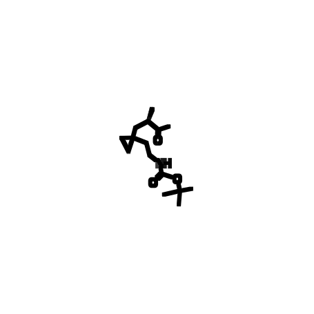 CC(=O)[C@H](C)CC1(CCNC(=O)OC(C)(C)C)CC1